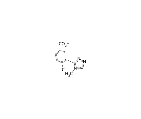 Cn1cnnc1-c1cc(C(=O)O)ccc1Cl